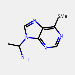 CSc1ncnc2c1ncn2C(C)N